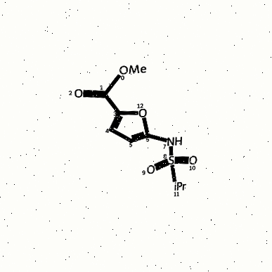 COC(=O)c1ccc(NS(=O)(=O)C(C)C)o1